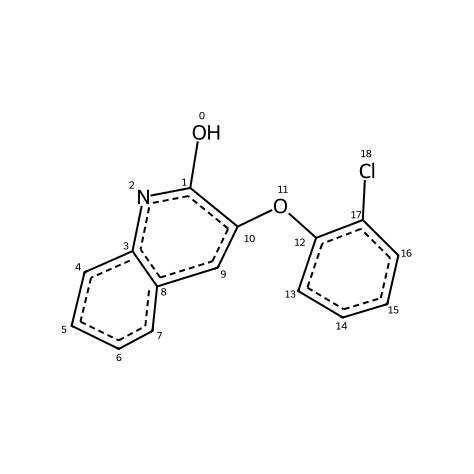 Oc1nc2ccccc2cc1Oc1ccccc1Cl